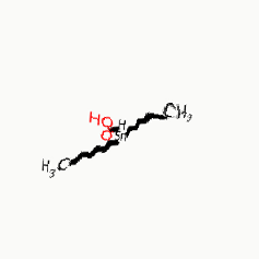 CCCCCCC[CH2][SnH]([CH2]CCCCCCC)[CH2]C(=O)O